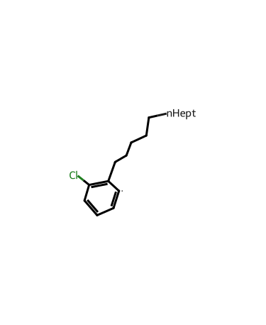 CCCCCCCCCCCCc1[c]cccc1Cl